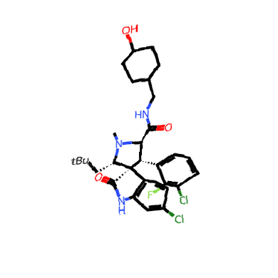 CN1[C@@H](CC(C)(C)C)[C@@]2(C(=O)Nc3cc(Cl)ccc32)[C@@H](c2cccc(Cl)c2F)[C@@H]1C(=O)NCC1CCC(O)CC1